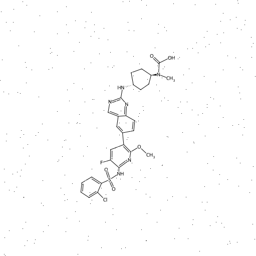 COc1nc(NS(=O)(=O)c2ccccc2Cl)c(F)cc1-c1ccc2nc(N[C@H]3CC[C@H](N(C)C(=O)O)CC3)ncc2c1